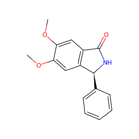 COc1cc2c(cc1OC)[C@H](c1ccccc1)NC2=O